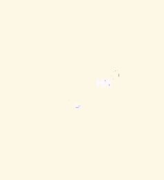 CC(C)CCCCCCC/C=C\CCCCCCCCNCc1ccccc1